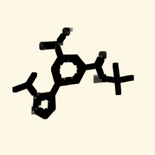 CC(C)n1nccc1-c1cc(C(=O)NC(C)(C)C)cc([N+](=O)[O-])c1